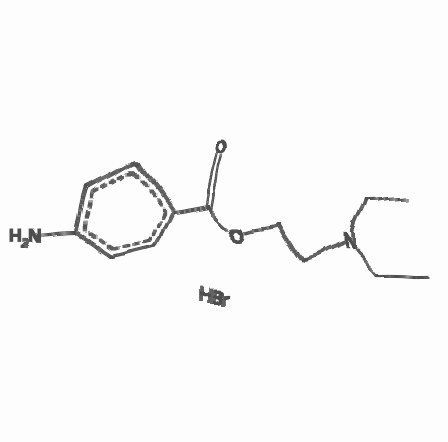 Br.CCN(CC)CCOC(=O)c1ccc(N)cc1